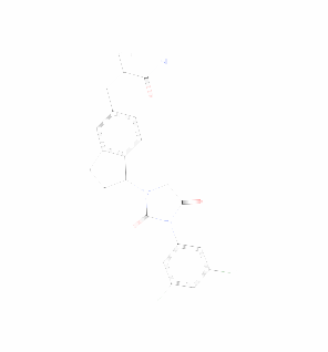 CC(Cc1ccc2c(c1)CCC2N1CC(=O)N(c2cc(Cl)cc(Cl)c2)C1=O)C(N)=O